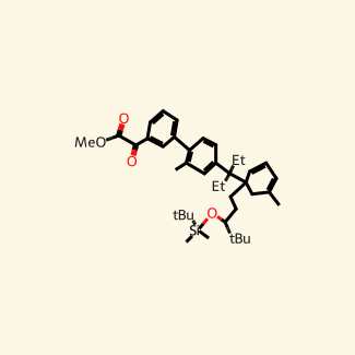 CCC(CC)(c1ccc(-c2cccc(C(=O)C(=O)OC)c2)c(C)c1)C1(CCC(O[Si](C)(C)C(C)(C)C)C(C)(C)C)C=CC=C(C)C1